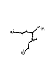 NCCC(NCCO)S(=O)(=O)O